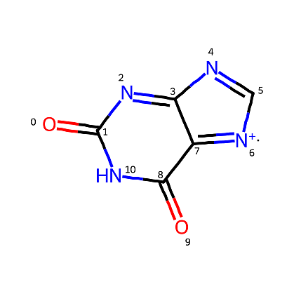 O=C1N=C2N=C[N+]=C2C(=O)N1